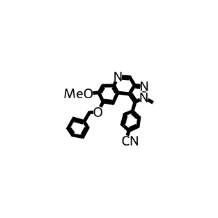 COc1cc2ncc3nn(C)c(-c4ccc(C#N)cc4)c3c2cc1OCc1ccccc1